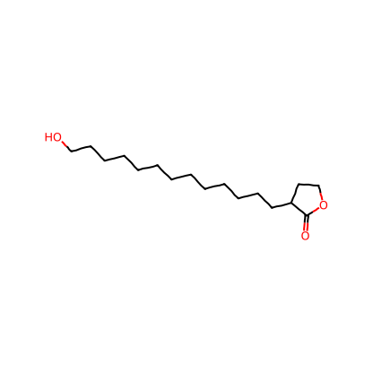 O=C1OCCC1CCCCCCCCCCCCCO